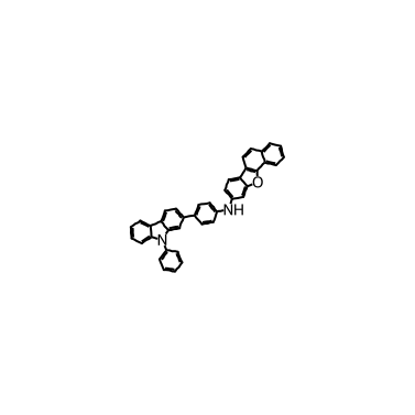 c1ccc(-n2c3ccccc3c3ccc(-c4ccc(Nc5ccc6c(c5)oc5c7ccccc7ccc65)cc4)cc32)cc1